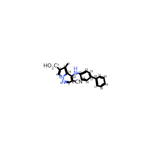 Cc1c(C(=O)O)cn2ncc(C#N)c(Nc3ccc(-c4ccccc4)cc3)c12